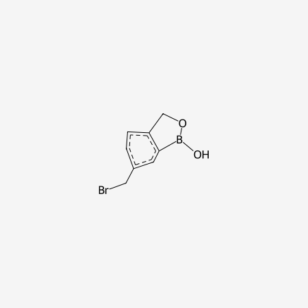 OB1OCc2ccc(CBr)cc21